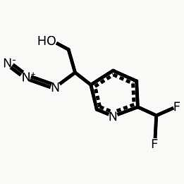 [N-]=[N+]=NC(CO)c1ccc(C(F)F)nc1